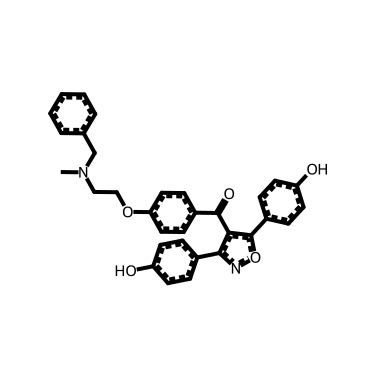 CN(CCOc1ccc(C(=O)c2c(-c3ccc(O)cc3)noc2-c2ccc(O)cc2)cc1)Cc1ccccc1